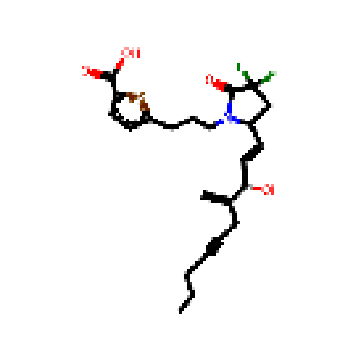 C=C(CC#CCCC)[C@H](O)/C=C/C1CC(F)(F)C(=O)N1CCCc1ccc(C(=O)O)s1